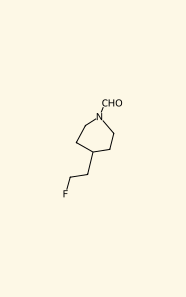 O=CN1CCC(CCF)CC1